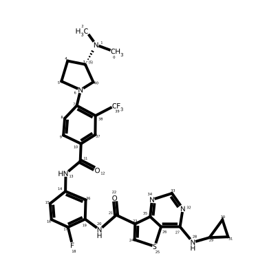 CN(C)[C@H]1CCN(c2ccc(C(=O)Nc3ccc(F)c(NC(=O)c4csc5c(NC6CC6)ncnc45)c3)cc2C(F)(F)F)C1